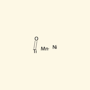 [Mn].[Ni].[O]=[Ti]